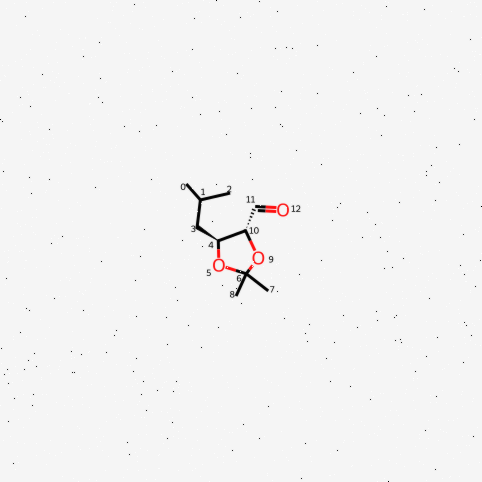 CC(C)C[C@@H]1OC(C)(C)O[C@H]1C=O